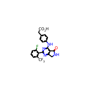 O=C(O)Cc1ccc(Nc2nc(-c3c(F)cccc3C(F)(F)F)nc3c2C(=O)NC3)cc1